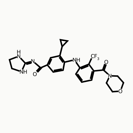 O=C(N=C1NCCN1)c1ccc(Nc2cccc(C(=O)N3CCOCC3)c2C(F)(F)F)c(C2CC2)c1